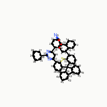 N#Cc1ccc(-c2cccc3c2Sc2c(-c4cc(-c5ccccc5)nc(-c5ccccc5)n4)cccc2C32c3ccccc3-c3ccccc32)c2ccccc12